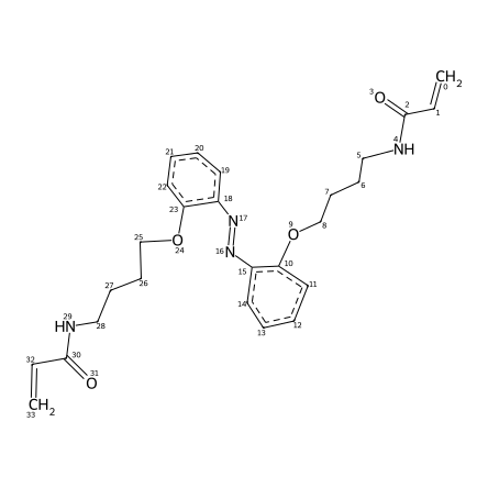 C=CC(=O)NCCCCOc1ccccc1N=Nc1ccccc1OCCCCNC(=O)C=C